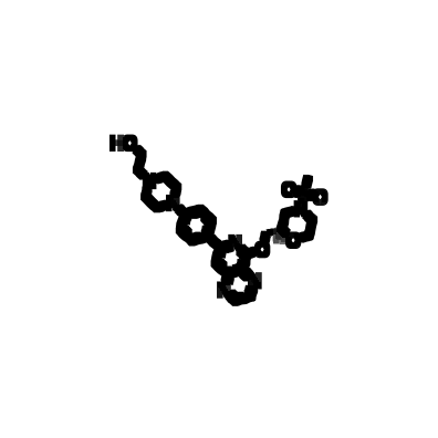 CS(=O)(=O)N1CCO[C@H](COc2nc(-c3ccc(N4CCN(CCO)CC4)cc3)cc3nccnc23)C1